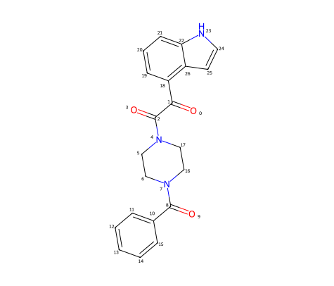 O=C(C(=O)N1CCN(C(=O)c2ccccc2)CC1)c1cccc2[nH]ccc12